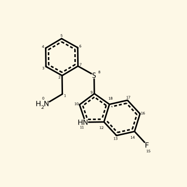 NCc1ccccc1Sc1c[nH]c2cc(F)ccc12